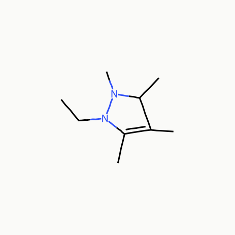 CCN1C(C)=C(C)C(C)N1C